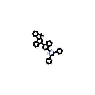 CC1(C)c2ccccc2-c2c1cc(-c1ccc(-c3nc(-c4ccccc4)cc(-c4ccccc4)n3)c3ccccc13)c1ccccc21